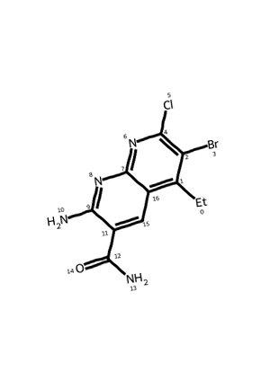 CCc1c(Br)c(Cl)nc2nc(N)c(C(N)=O)cc12